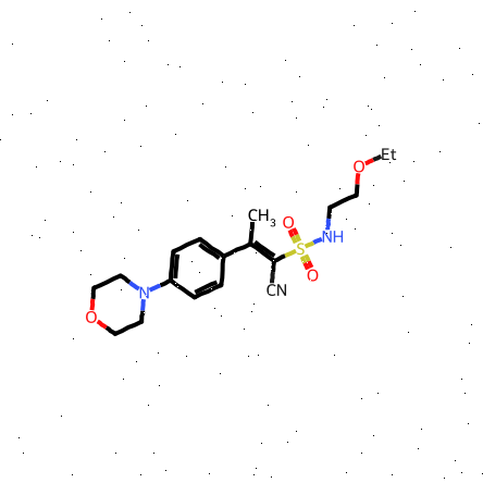 CCOCCNS(=O)(=O)/C(C#N)=C(\C)c1ccc(N2CCOCC2)cc1